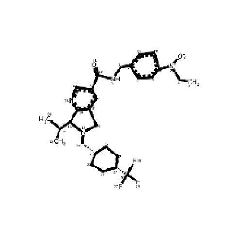 CC[S+]([O-])c1ccc(CNC(=O)c2cnc3c(c2)CN(C[C@H]2CC[C@@H](C(F)(F)F)CC2)C3C(C)C)cc1